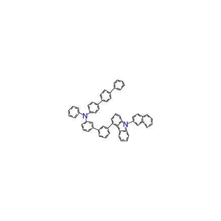 c1ccc(-c2ccc(-c3ccc(N(c4ccccc4)c4cccc(-c5cccc(-c6cccc7c6c6ccccc6n7-c6ccc7ccccc7c6)c5)c4)cc3)cc2)cc1